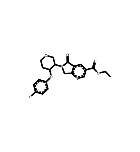 CCOC(=O)c1cnc2c(c1)C(=O)N(C1COCCC1Oc1ccc(F)cc1)C2